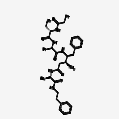 CC[C@H](C)[C@H](NC(=O)C[C@H](N)[C@H](Cc1ccccc1)NC(=O)C(NC(=O)[C@H](CC(C)C)NC(=O)CC(C)C)C(C)C)C(=O)NCCc1ccccc1